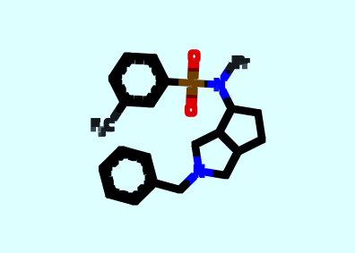 CC(C)N(C1CCC2CN(Cc3ccccc3)CC21)S(=O)(=O)c1cccc(C(F)(F)F)c1